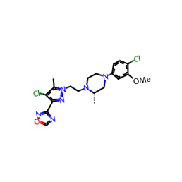 COc1cc(N2CCN(CCn3nc(-c4ncon4)c(Cl)c3C)[C@@H](C)C2)ccc1Cl